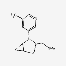 CNCC1CC2CC2N1c1cncc(C(F)(F)F)c1